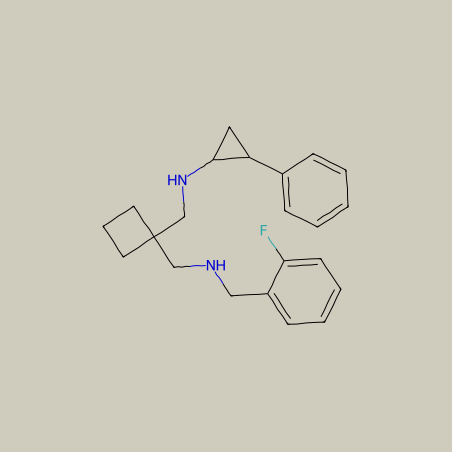 Fc1ccccc1CNCC1(CNC2CC2c2ccccc2)CCC1